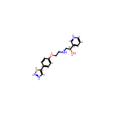 O[C@@H](CNCCOc1ccc(-c2cnns2)cc1)c1cccnc1